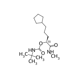 CNC(=O)[C@H](CCCC1CCCC1)OC(=O)NC(C)(C)C